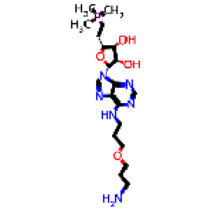 C=P(C)(C)CC[C@H]1O[C@@H](n2cnc3c(NCCCOCCCN)ncnc32)[C@H](O)[C@@H]1O